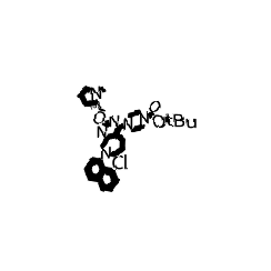 CN1CCC[C@H]1COc1nc2c(c(N3CCN(C(=O)OC(C)(C)C)CC3)n1)CCCN(c1cccc3cccc(Cl)c13)C2